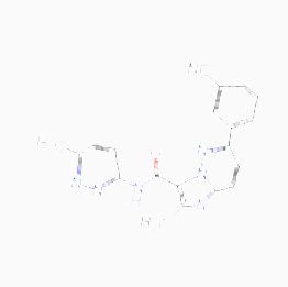 Cc1ccc(NC(=O)c2c(C)nc3ccc(-c4cccc(C#N)c4)nn23)nn1